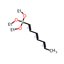 C/C=C/C=C/C=C/[Si](OCC)(OCC)OCC